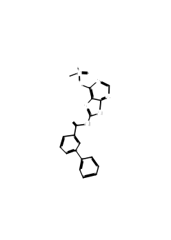 CP(=O)(O)Oc1ncnc2[nH]c(NC(=O)c3cccc(-c4ccccc4)c3)nc12